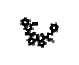 NC(CCc1ccccc1)C(=O)N1CCCC1C(=O)N1CCCC1C(=O)NC(CCO)Cc1ccccc1